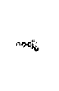 CCNc1ccc(-c2cc(N)n3nc(-c4ccccn4)nc3c2)cn1